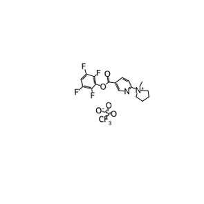 C[N+]1(c2ccc(C(=O)Oc3c(F)c(F)cc(F)c3F)cn2)CCCC1.O=S(=O)([O-])C(F)(F)F